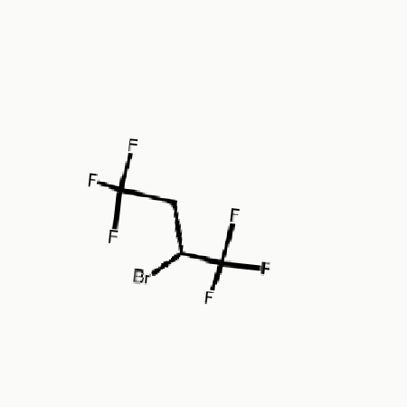 FC(F)(F)CC(Br)C(F)(F)F